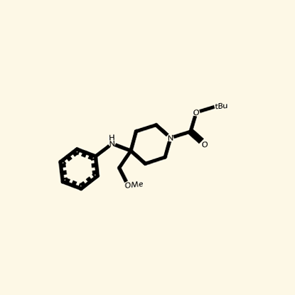 COCC1(Nc2ccccc2)CCN(C(=O)OC(C)(C)C)CC1